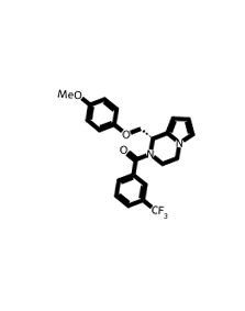 COc1ccc(OC[C@@H]2c3cccn3CCN2C(=O)c2cccc(C(F)(F)F)c2)cc1